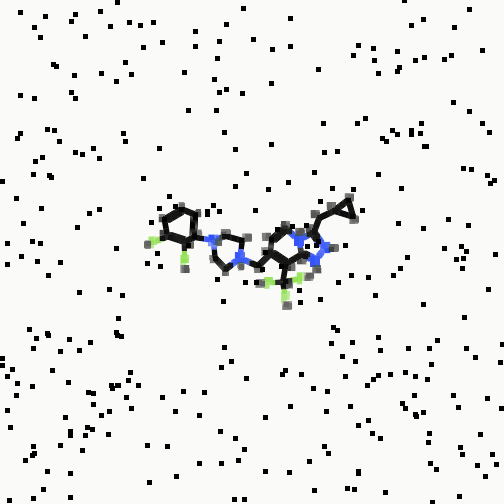 Fc1cccc(N2CCN(Cc3ccn4c(CC5CC5)nnc4c3C(F)(F)F)CC2)c1F